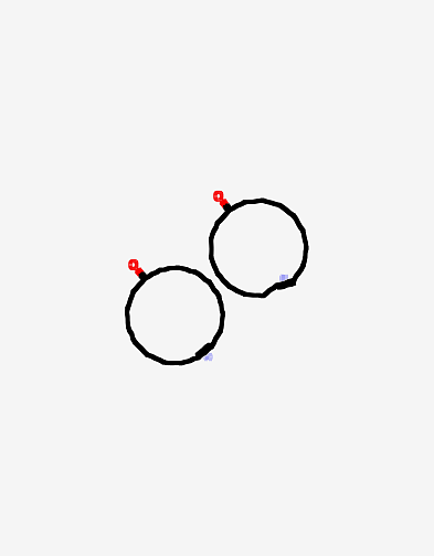 O=C1CCCCCCC/C=C/CCCCCCC1.O=C1CCCCCCC/C=C\CCCCCCC1